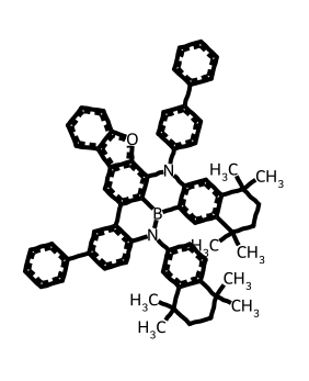 CC1(C)CCC(C)(C)c2cc(N3B4c5cc6c(cc5N(c5ccc(-c7ccccc7)cc5)c5c4c(cc4c5oc5ccccc54)-c4cc(-c5ccccc5)ccc43)C(C)(C)CCC6(C)C)ccc21